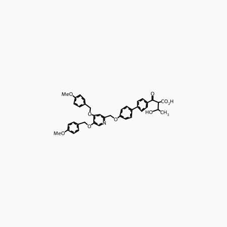 COc1ccc(COc2cnc(COc3ccc(-c4ccc(C(=O)C(C(=O)O)C(C)O)cc4)cc3)cc2OCc2ccc(OC)cc2)cc1